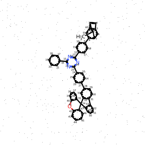 CC1=CC2=Cc3cc1c(-c1ccc(-c4nc(-c5ccccc5)nc(-c5ccc(-c6ccc7c(c6)C6(c8ccccc8Oc8ccccc86)c6ccccc6-7)cc5)n4)cc1)cc32